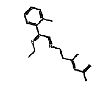 C=C(C)/C=C(\C)CC/N=C/C(=N\CC)c1ccccc1C